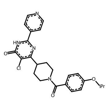 CC(C)Oc1ccc(C(=O)N2CCC(c3nc(-c4ccncc4)[nH]c(=O)c3Cl)CC2)cc1